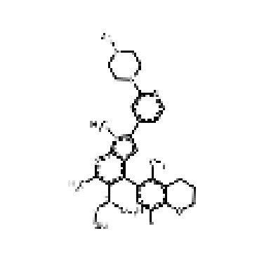 CC(=O)N1CCN(c2cc(-c3cc4c(-c5cc(F)c6c(c5C)CCCO6)c([C@H](OC(C)(C)C)C(=O)O)c(C)nc4n3C)ccn2)CC1